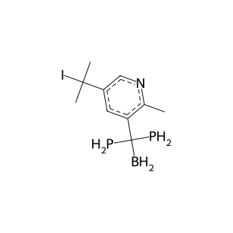 BC(P)(P)c1cc(C(C)(C)I)cnc1C